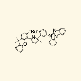 Cc1ccc(-n2c3ccccc3n3c4ccccc4nc23)cc1-c1nc(-c2c(C(C)(C)C)ccc3c2Oc2ccccc2C3(C)C)ccc1C